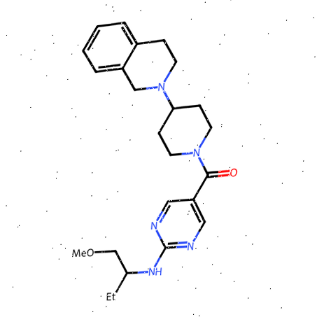 CCC(COC)Nc1ncc(C(=O)N2CCC(N3CCc4ccccc4C3)CC2)cn1